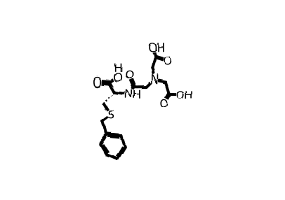 O=C(O)CN(CC(=O)O)CC(=O)N[C@H](CSCc1ccccc1)C(=O)O